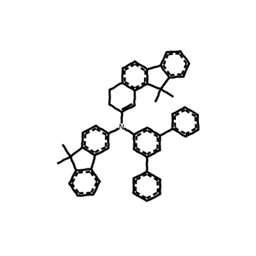 CC1(C)c2ccccc2-c2cc(N(C3=Cc4c(ccc5c4C(C)(C)c4ccccc4-5)CC3)c3cc(-c4ccccc4)cc(-c4ccccc4)c3)ccc21